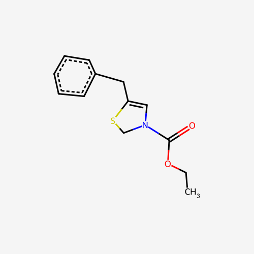 CCOC(=O)N1C=C(Cc2ccccc2)SC1